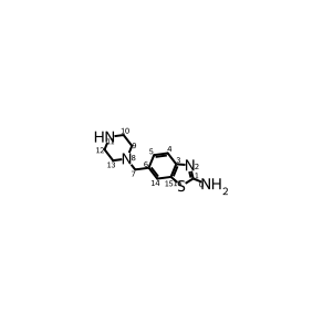 Nc1nc2ccc(CN3CCNCC3)cc2s1